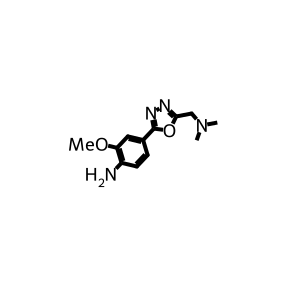 COc1cc(-c2nnc(CN(C)C)o2)ccc1N